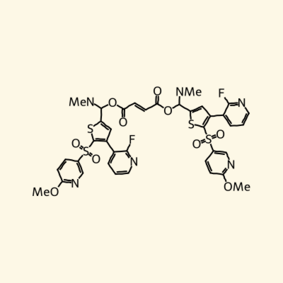 CNC(OC(=O)/C=C/C(=O)OC(NC)c1cc(-c2cccnc2F)c(S(=O)(=O)c2ccc(OC)nc2)s1)c1cc(-c2cccnc2F)c(S(=O)(=O)c2ccc(OC)nc2)s1